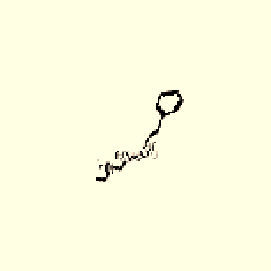 CCNCN[SiH2]C=Cc1ccccc1